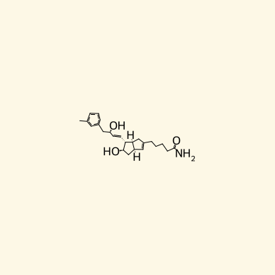 Cc1cccc(C[C@@H](O)/C=C/[C@@H]2[C@H]3CC(CCCCC(N)=O)=C[C@H]3C[C@H]2O)c1